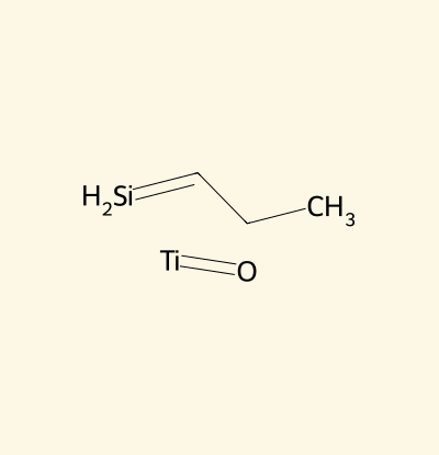 CCC=[SiH2].[O]=[Ti]